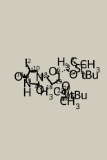 CC(C)(C)[Si](C)(C)OC[C@H]1O[C@@H](n2cc(I)c(=O)[nH]c2=O)C[C@@H]1O[Si](C)(C)C(C)(C)C